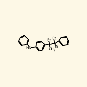 CCC(C)(c1ccc(Nc2ccccc2)cc1)C(CC)(CC)c1ccccc1